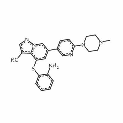 CN1CCN(c2ccc(-c3cc(Sc4ccccc4N)c4c(C#N)cnn4c3)cn2)CC1